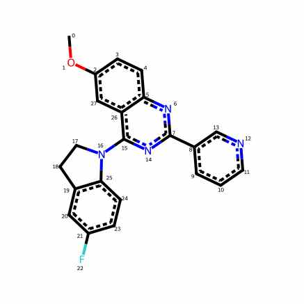 COc1ccc2nc(-c3cccnc3)nc(N3CCc4cc(F)ccc43)c2c1